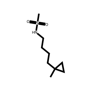 CC1(CCCCNS(C)(=O)=O)CC1